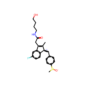 CC1=C(CC(=O)NCCCCO)c2cc(F)ccc2/C1=C\c1ccc([S+](C)[O-])cc1